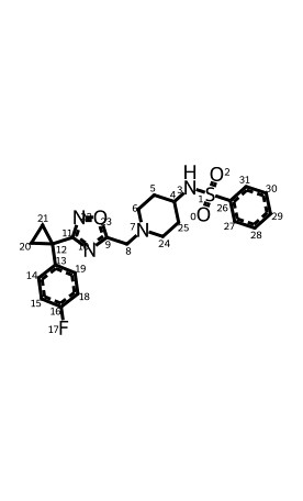 O=S(=O)(NC1CCN(Cc2nc(C3(c4ccc(F)cc4)CC3)no2)CC1)c1ccccc1